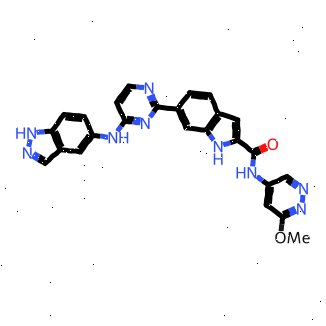 COc1cc(NC(=O)c2cc3ccc(-c4nccc(Nc5ccc6[nH]ncc6c5)n4)cc3[nH]2)cnn1